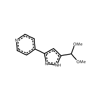 COC(OC)c1cc(-c2ccncc2)n[nH]1